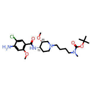 COc1cc(N)c(Cl)cc1C(=O)N[C@H]1CCN(CCCCN(C)C(=O)OC(C)(C)C)C[C@H]1OC